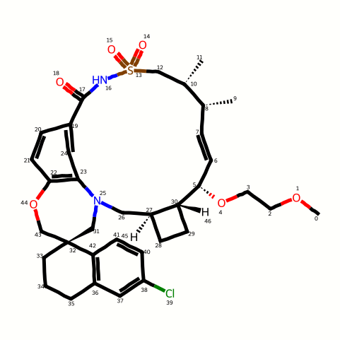 COCCO[C@H]1/C=C/[C@@H](C)[C@@H](C)CS(=O)(=O)NC(=O)c2ccc3c(c2)N(C[C@@H]2CC[C@H]21)C[C@@]1(CCCc2cc(Cl)ccc21)CO3